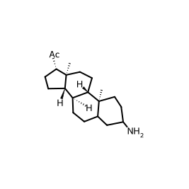 CC(=O)[C@H]1CC[C@H]2[C@@H]3CCC4CC(N)CC[C@]4(C)[C@H]3CC[C@]12C